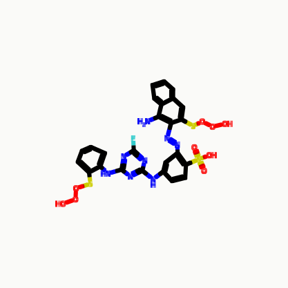 Nc1c(/N=N/c2cc(Nc3nc(F)nc(Nc4ccccc4SOOO)n3)ccc2S(=O)(=O)O)c(SOOO)cc2ccccc12